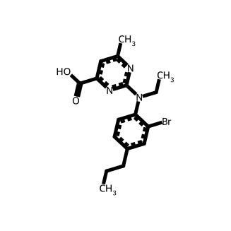 CCCc1ccc(N(CC)c2nc(C)cc(C(=O)O)n2)c(Br)c1